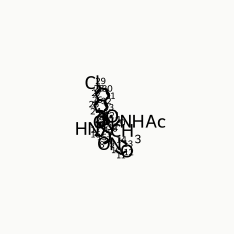 CC(=O)NCCN([C@]1([C@H](C)C(=O)N2CCOCC2)CCNC1=O)S(=O)(=O)c1ccc2cc(Cl)ccc2c1